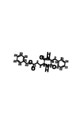 O=C(CC[C@@H]1NC(=O)[C@H](Cc2ccccc2)NC1=O)OCc1ccccc1